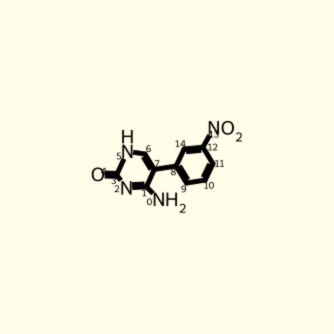 Nc1nc(=O)[nH]cc1-c1cccc([N+](=O)[O-])c1